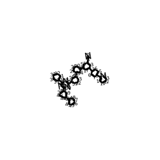 N#Cc1cc(-c2ccc(-c3ccccn3)cc2)cc(-c2cccc(C3=CC(c4nc(-c5ccccc5)nc(-c5cccc(-c6ccccc6)c5)n4)CCC3)c2)c1